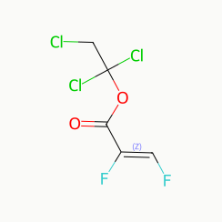 O=C(OC(Cl)(Cl)CCl)/C(F)=C/F